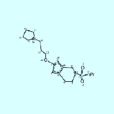 CCCS(=O)(=O)N1CCc2cc(OCCCN3CCCC3)sc2C1